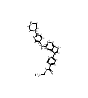 CCOC(=O)c1ccc(-c2csc3cnc(Nc4ccc(N5CCOCC5)nc4)nc23)cc1